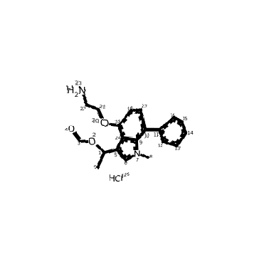 CC(OC=O)c1cn(C)c2c(-c3ccccc3)ccc(OCCN)c12.Cl